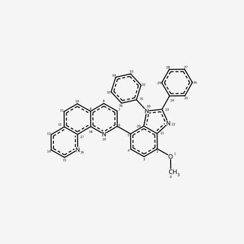 COc1ccc(-c2ccc3ccc4cccnc4c3n2)c2c1nc(-c1ccccc1)n2-c1ccccc1